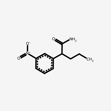 CCCC(C(N)=O)c1cccc([N+](=O)[O-])c1